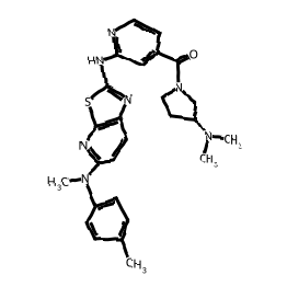 Cc1ccc(N(C)c2ccc3nc(Nc4cc(C(=O)N5CCC(N(C)C)C5)ccn4)sc3n2)cc1